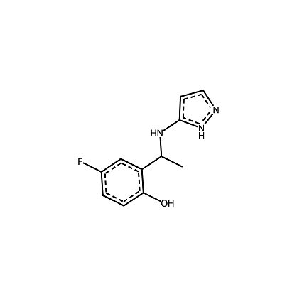 CC(Nc1ccn[nH]1)c1cc(F)ccc1O